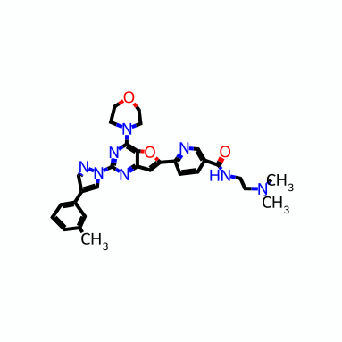 Cc1cccc(-c2cnn(-c3nc(N4CCOCC4)c4oc(-c5ccc(C(=O)NCCN(C)C)cn5)cc4n3)c2)c1